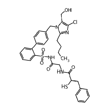 CCCCc1nc(Cl)c(CO)n1Cc1ccc(-c2ccccc2S(=O)(=O)NC(=O)CNC(=O)C(S)Cc2ccccc2)cc1